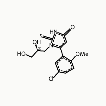 COc1ccc(Cl)cc1-c1cc(=O)[nH]c(=S)n1C[C@H](O)CO